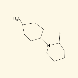 CC1CCC(N2CCCCC2F)CC1